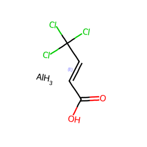 O=C(O)/C=C/C(Cl)(Cl)Cl.[AlH3]